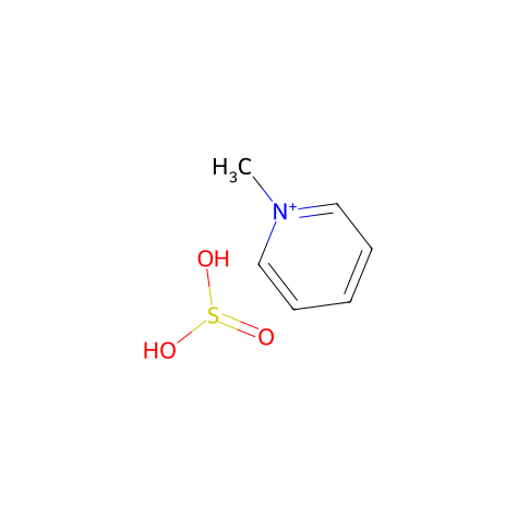 C[n+]1ccccc1.O=S(O)O